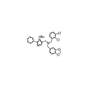 CCCCn1c(CN(Cc2ccc3c(c2)OCO3)Cc2cccc(Cl)c2Cl)cnc1-c1ccccc1